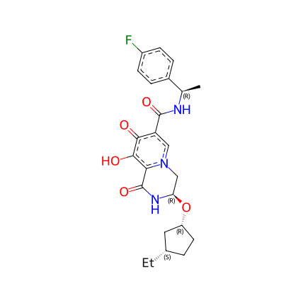 CC[C@H]1CC[C@@H](O[C@@H]2Cn3cc(C(=O)N[C@H](C)c4ccc(F)cc4)c(=O)c(O)c3C(=O)N2)C1